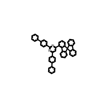 c1ccc(-c2ccc(-c3cc(-c4cccc5c4-c4ccccc4C54c5ccccc5-c5ccccc54)nc(-c4ccc(-c5ccccc5)cc4)n3)cc2)cc1